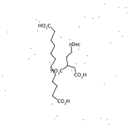 CCCCCCCCCCCCC(CC(=O)O)C(=O)O.O=C(O)CCCCCCCCCCC(=O)O